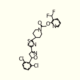 O=C(COc1ncccc1C(F)F)N1CCC(c2nc(C3=NOC(c4c(Cl)cccc4Cl)C3)cs2)CC1